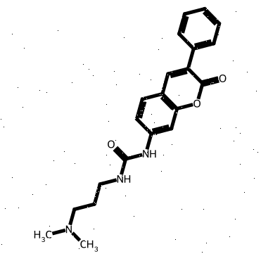 CN(C)CCCNC(=O)Nc1ccc2cc(-c3ccccc3)c(=O)oc2c1